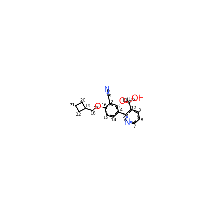 N#Cc1cc(-c2ncccc2C(=O)O)ccc1OCC1CCC1